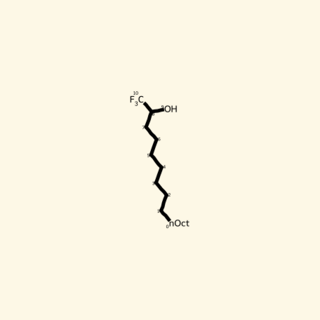 CCCCCCCCCCCCCCCC(O)C(F)(F)F